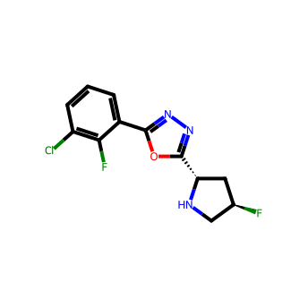 Fc1c(Cl)cccc1-c1nnc([C@@H]2C[C@@H](F)CN2)o1